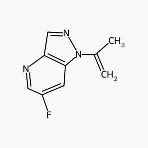 C=C(C)n1ncc2ncc(F)cc21